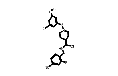 CCOC1C=C(SN2CCC(C(O)NCc3ccc(C#N)cc3F)CC2)C=C(Cl)C1